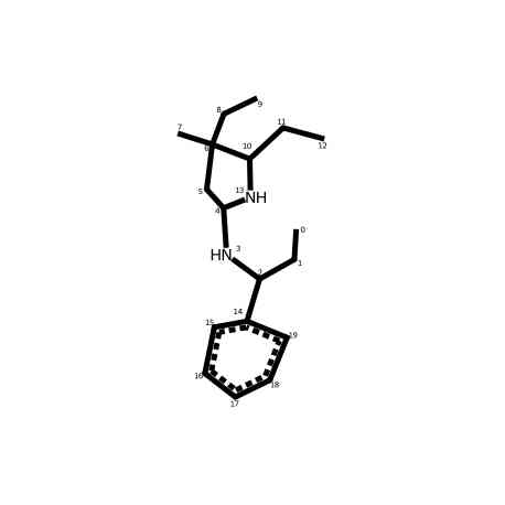 CCC(NC1CC(C)(CC)C(CC)N1)c1ccccc1